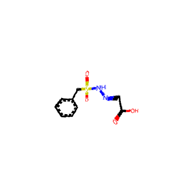 O=C(O)C=NNS(=O)(=O)Cc1ccccc1